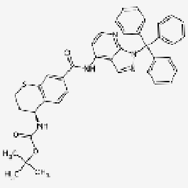 CC(C)(C)OC(=O)N[C@H]1CCSc2cc(C(=O)Nc3ccnc4c3cnn4C(c3ccccc3)(c3ccccc3)c3ccccc3)ccc21